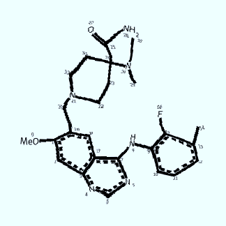 COc1cc2ncnc(Nc3cccc(C)c3F)c2cc1CN1CCC(C(N)=O)(N(C)C)CC1